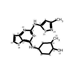 Cc1cc(Nc2nc(NC3CCC(O)C(C)C3)c3sccc3n2)sn1